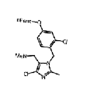 CCCCCOc1ccc(Cn2c(C)nc(Cl)c2CNC)c(Cl)c1